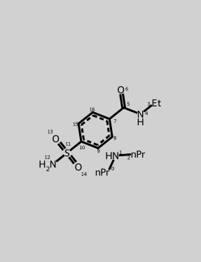 CCCNCCC.CCNC(=O)c1ccc(S(N)(=O)=O)cc1